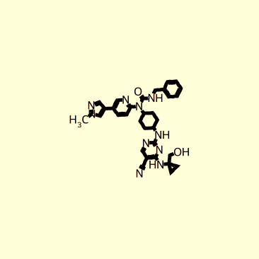 Cn1cc(-c2ccc(N(C(=O)NCc3ccccc3)C3CCC(Nc4ncc(C#N)c(NC5(CO)CC5)n4)CC3)nc2)cn1